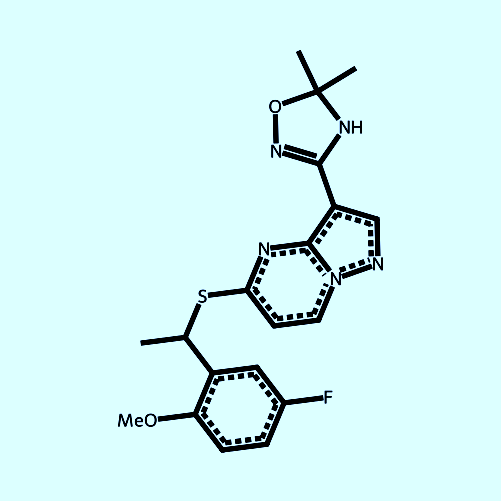 COc1ccc(F)cc1C(C)Sc1ccn2ncc(C3=NOC(C)(C)N3)c2n1